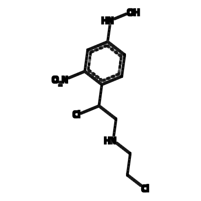 O=[N+]([O-])c1cc(NO)ccc1C(Cl)CNCCCl